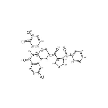 CN(C(=O)c1ccc(Cl)cc1)[C@@H]1CCN(C(=O)[C@@H]2CCCN2C(=O)c2ccccc2)C[C@H]1c1ccc(Cl)c(Cl)c1